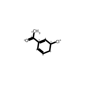 CC(=O)C1=CC(Cl)CC=C1